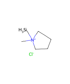 C[N+]1([SiH3])CCCC1.[Cl-]